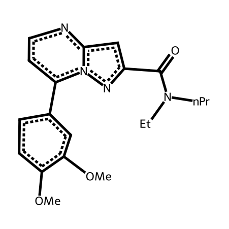 CCCN(CC)C(=O)c1cc2nccc(-c3ccc(OC)c(OC)c3)n2n1